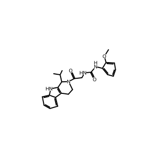 COc1ccccc1NC(=O)NCC(=O)N1CCc2c([nH]c3ccccc23)C1C(C)C